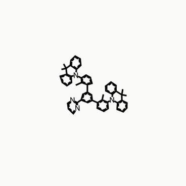 Cc1c(-c2cc(-c3ncccn3)cc(-c3cccc(N4c5ccccc5C(C)(C)c5ccccc54)c3C)c2)cccc1N1c2ccccc2C(C)(C)c2ccccc21